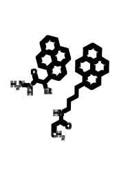 C=CC(=O)NCCCCc1ccc2ccc3cccc4ccc1c2c34.CCC(C(=O)NN)c1ccc2ccc3cccc4ccc1c2c34